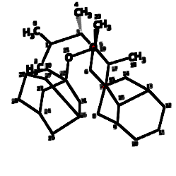 CC(C)[C@H](C)OCC1CC2CCCC(C1)C2CC(C)[C@H](C)OC12CC3CC(CC(C3)C1)C2